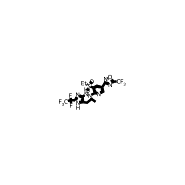 CCS(=O)(=O)c1cc(-c2noc(C(F)(F)F)n2)cnc1N1Nc2nc(C(F)(F)C(F)(F)F)[nH]c2CC1C